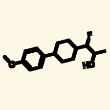 COc1ccc(C2CCC(C(F)C(C)O)CC2)cc1